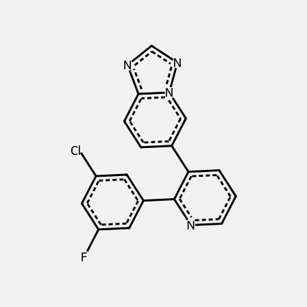 Fc1cc(Cl)cc(-c2ncccc2-c2ccc3ncnn3c2)c1